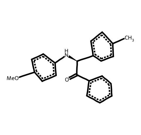 COc1ccc(N[C@H](C(=O)c2ccccc2)c2ccc(C)cc2)cc1